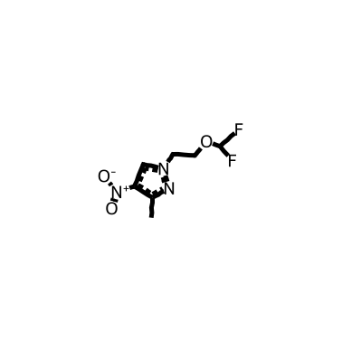 Cc1nn(CCOC(F)F)cc1[N+](=O)[O-]